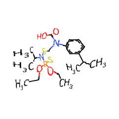 CCOP(=S)(OCC)N(SCN(C(=O)O)c1cccc(C(C)C)c1)C(C)C